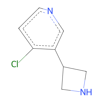 Clc1ccncc1C1CNC1